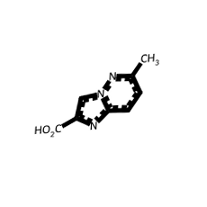 Cc1ccc2nc(C(=O)O)cn2n1